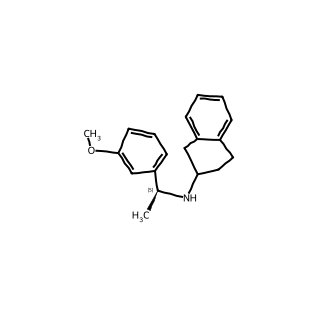 COc1cccc([C@H](C)NC2CCc3ccccc3C2)c1